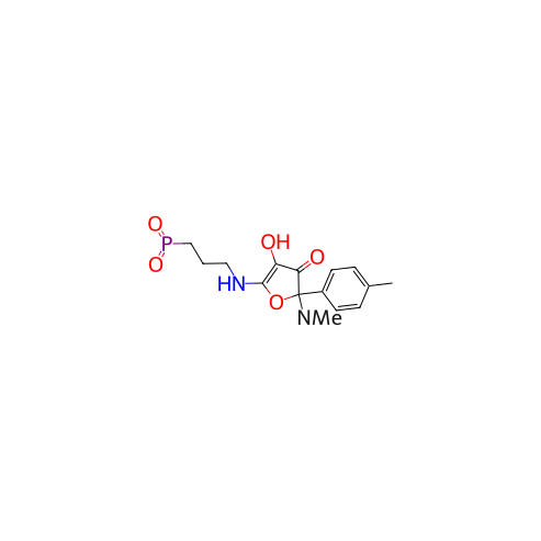 CNC1(c2ccc(C)cc2)OC(NCCCP(=O)=O)=C(O)C1=O